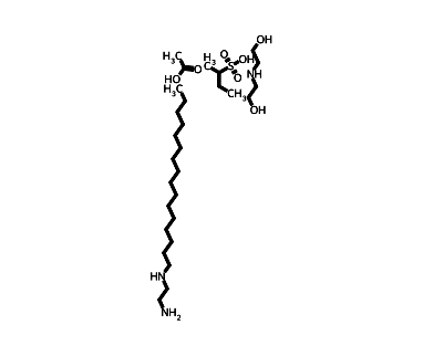 CC(=O)O.CCC(C)S(=O)(=O)O.CCCCCCCCCCCCCCCCNCCN.OCCNCCO